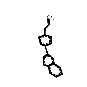 C=CCc1ccc(-c2ccc3ccccc3c2)cc1